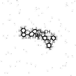 CN1C2=Nc3ccc4cc(-c5cccc6ccccc56)ccc4[n+]3[B-](F)(F)N2c2ccc(N(c3ccccc3)c3ccccc3)cc21